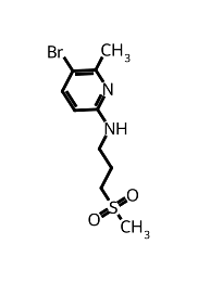 Cc1nc(NCCCS(C)(=O)=O)ccc1Br